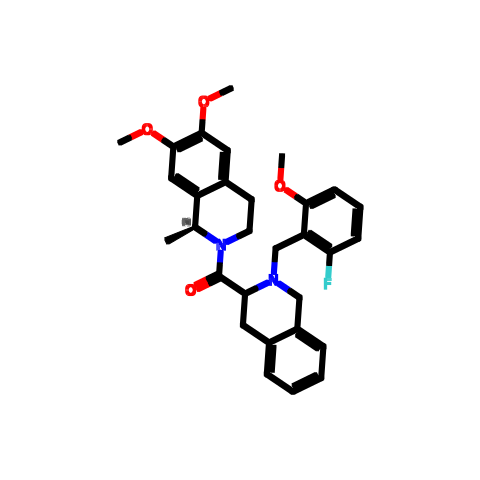 COc1cc2c(cc1OC)[C@H](C)N(C(=O)C1Cc3ccccc3CN1Cc1c(F)cccc1OC)CC2